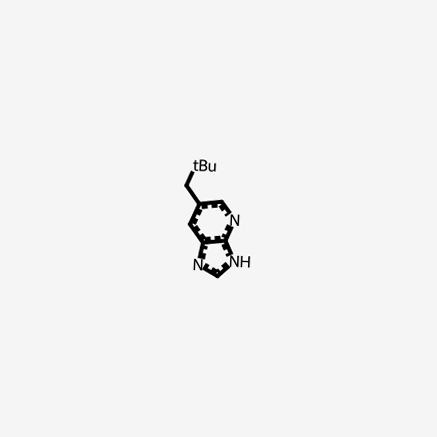 CC(C)(C)Cc1cnc2[nH]cnc2c1